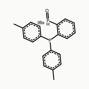 Cc1ccc(P(c2ccc(C)cc2)c2ccccc2[PH](=O)C(C)(C)C)cc1